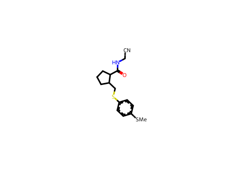 CSc1ccc(SCC2CCCC2C(=O)NCC#N)cc1